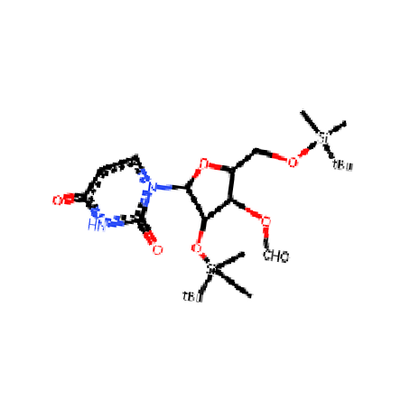 CC(C)(C)[Si](C)(C)OCC1OC(n2ccc(=O)[nH]c2=O)C(O[Si](C)(C)C(C)(C)C)C1OC=O